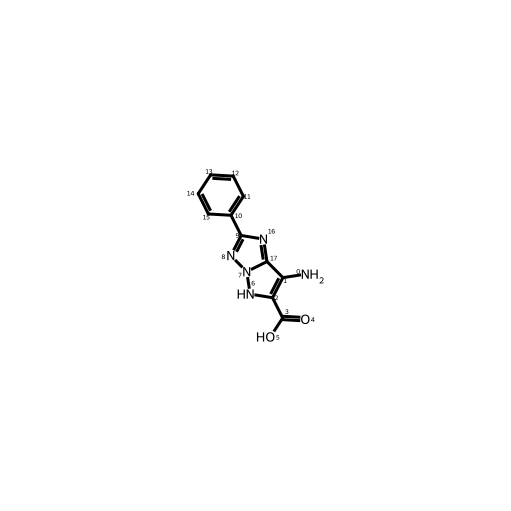 Nc1c(C(=O)O)[nH]n2nc(-c3ccccc3)nc12